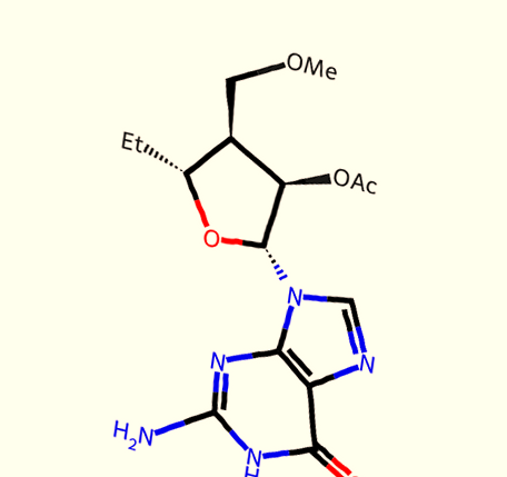 CC[C@H]1O[C@@H](n2cnc3c(=O)[nH]c(N)nc32)[C@H](OC(C)=O)[C@@H]1COC